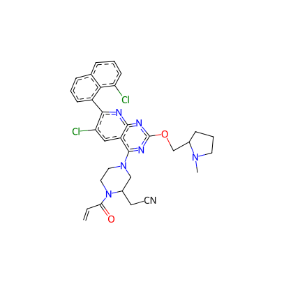 C=CC(=O)N1CCN(c2nc(OCC3CCCN3C)nc3nc(-c4cccc5cccc(Cl)c45)c(Cl)cc23)CC1CC#N